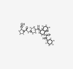 C#[N+][C@@H]1CCCN1C(=O)CN1CCC(Nc2ccc(C(=O)Nc3ccccc3)c3ncccc23)CC1